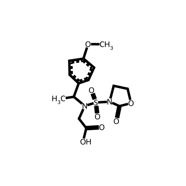 COc1ccc(C(C)N(CC(=O)O)S(=O)(=O)N2CCOC2=O)cc1